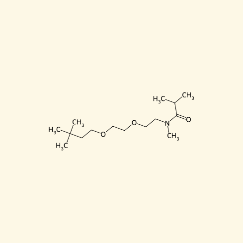 CC(C)C(=O)N(C)CCOCCOCCC(C)(C)C